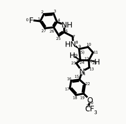 Fc1ccc2[nH]c(CN[C@H]3CC[C@@H]4CN(c5cccc(OC(F)(F)F)c5)C[C@@H]43)cc2c1